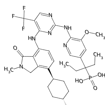 CCC(CC)(c1cnc(Nc2ncc(C(F)(F)F)c(Nc3ccc([C@H]4CC[C@H](O)CC4)c4c3C(=O)N(C)C4)n2)c(OC)c1)P(=O)(O)O